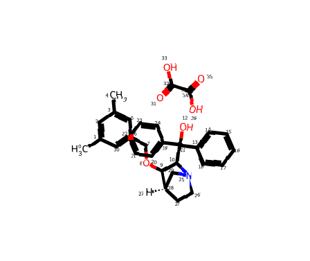 Cc1cc(C)cc(COC2C(C(O)(c3ccccc3)c3ccccc3)[N@@]3CC[C@@H]2C3)c1.O=C(O)C(=O)O